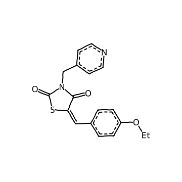 CCOc1ccc(/C=C2/SC(=O)N(Cc3ccncc3)C2=O)cc1